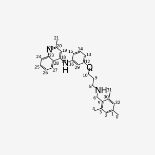 Cc1cc(C)c(CNCCCOc2cccc(Nc3cc(C)nc4ccccc34)c2)c(C)c1